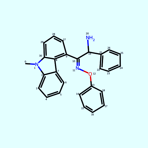 Cn1c2ccccc2c2c(C(=NOc3ccccc3)C(N)c3ccccc3)cccc21